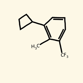 Cc1c(C2CCC2)[c]ccc1C(F)(F)F